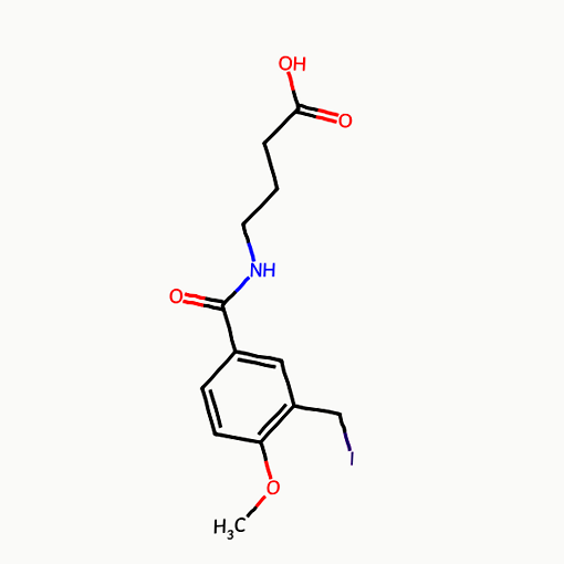 COc1ccc(C(=O)NCCCC(=O)O)cc1CI